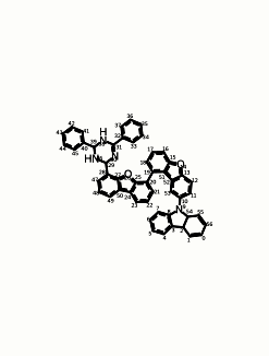 C1=CC2c3ccccc3N(c3ccc4oc5cccc(-c6cccc7c6oc6c(C8N=C(c9ccccc9)NC(c9ccccc9)N8)cccc67)c5c4c3)C2C=C1